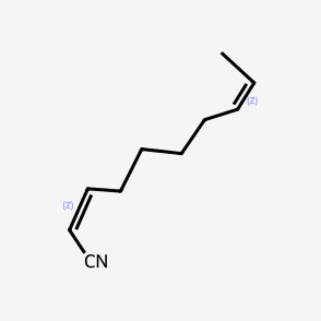 C/C=C\CCCC/C=C\C#N